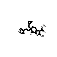 CC(C)(C)OC(=O)c1c(N)sc2c1CCC(CCc1ccon1)(CC1CC1)C2=O